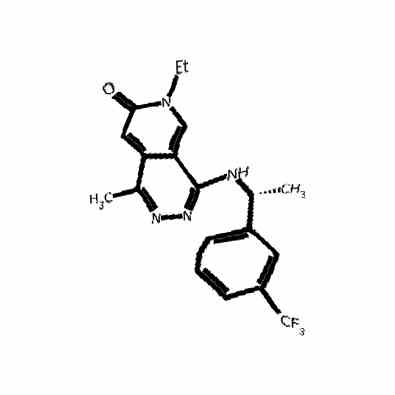 CCn1cc2c(N[C@H](C)c3cccc(C(F)(F)F)c3)nnc(C)c2cc1=O